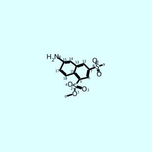 COS(=O)(=O)c1cc(S(C)(=O)=O)cc2cc(N)ccc12